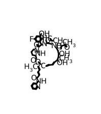 CC(=O)CC[C@H]1C(=O)N[C@@H](C(C)C)C(=O)NC(c2cc(O)cc(F)c2)C(=O)N2CCCC(N2)C(=O)O[C@H](/C(C)=C/C=C/C(=O)Nc2ccccn2)C/C=C/C=C/[C@H](O)[C@H](C)[C@H]1O